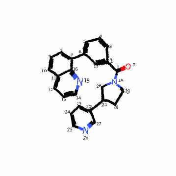 O=C(c1cccc(-c2cccc3cccnc23)c1)N1CCC(c2cccnc2)C1